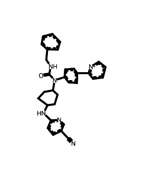 N#Cc1ccc(NC2CCC(N(C(=O)NCc3ccccc3)c3ccc(-c4ccccn4)cc3)CC2)nc1